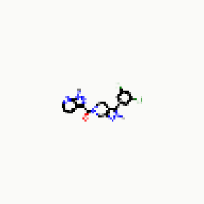 Cn1nc2c(c1-c1cc(Cl)cc(Cl)c1)CCN(C(=O)c1nn(C)c3ncccc13)C2